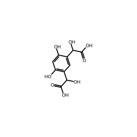 O=C(O)C(O)c1cc(C(O)C(=O)O)c(O)cc1O